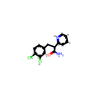 NC(=O)C(Cc1ccc(Cl)c(Cl)c1)c1ccccn1